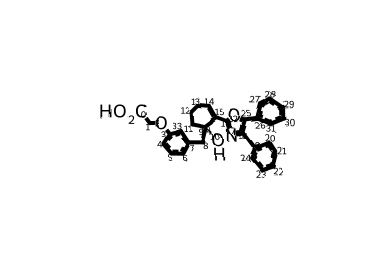 O=C(O)COc1cccc(C[C@]2(O)CCCC=C2c2nc(-c3ccccc3)c(-c3ccccc3)o2)c1